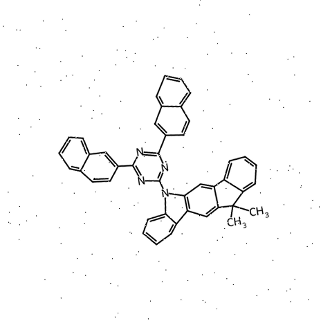 CC1(C)c2ccccc2-c2cc3c(cc21)c1ccccc1n3-c1nc(-c2ccc3ccccc3c2)nc(-c2ccc3ccccc3c2)n1